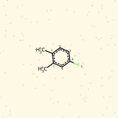 [CH2]c1ccc(F)cc1C